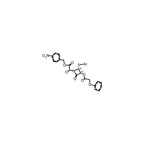 CC(=O)S[C@@H]1[C@@H](OC(=O)COc2ccccc2)C(=O)N1C(Cl)C(=O)OCc1ccc([N+](=O)[O-])cc1